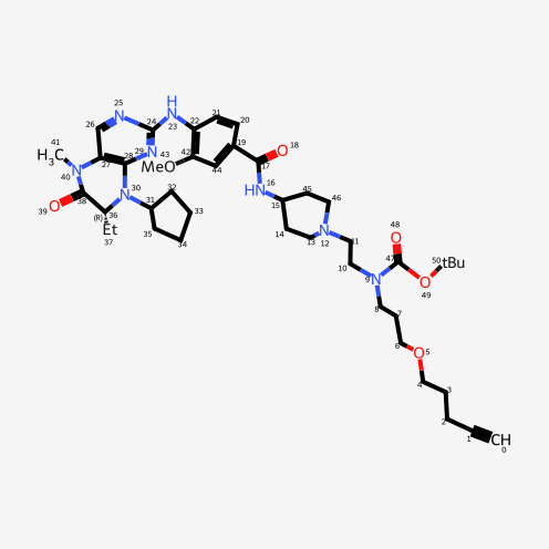 C#CCCCOCCCN(CCN1CCC(NC(=O)c2ccc(Nc3ncc4c(n3)N(C3CCCC3)[C@H](CC)C(=O)N4C)c(OC)c2)CC1)C(=O)OC(C)(C)C